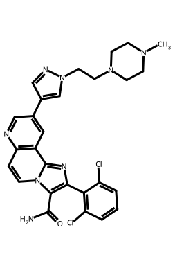 CN1CCN(CCn2cc(-c3cnc4ccn5c(C(N)=O)c(-c6c(Cl)cccc6Cl)nc5c4c3)cn2)CC1